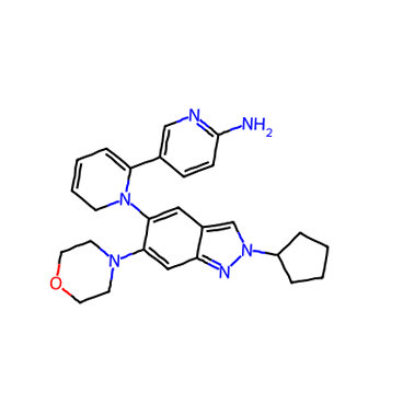 Nc1ccc(C2=CC=CCN2c2cc3cn(C4CCCC4)nc3cc2N2CCOCC2)cn1